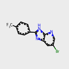 FC(F)(F)c1ccc(-c2nc3cc(Br)cnc3[nH]2)cc1